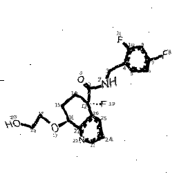 O=C(NCc1ccc(F)cc1F)[C@]1(F)CC[C@H](OCCO)c2ncccc21